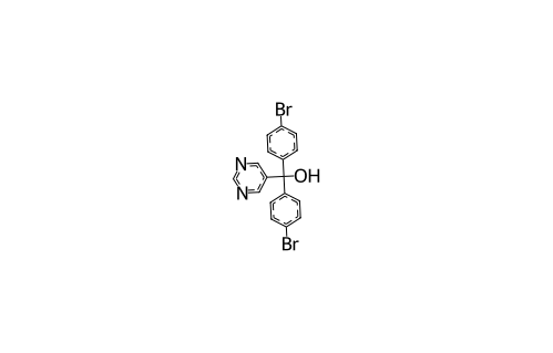 OC(c1ccc(Br)cc1)(c1ccc(Br)cc1)c1cncnc1